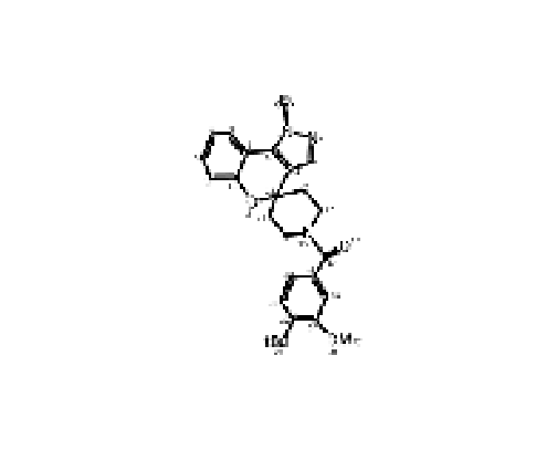 CCn1ncc2c1-c1ccccc1OC21CCN(C(=O)c2ccc(C(C)(C)C)c(OC)c2)CC1